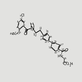 CCCCOc1ccc(Cl)cc1C(=O)NCCc1ccc(-c2ccc(C(=O)NCC(=O)O)cc2)cc1